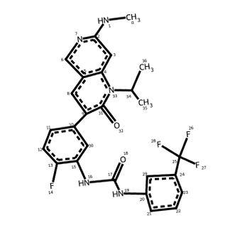 CNc1cc2c(cn1)cc(-c1ccc(F)c(NC(=O)Nc3cccc(C(F)(F)F)c3)c1)c(=O)n2C(C)C